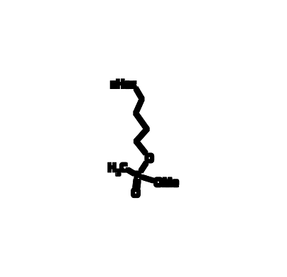 CCCCCCCCCCOP(C)(=O)OC